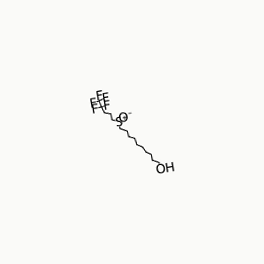 [O-][S+](CCCCCCCCCCO)CCCC(F)(F)C(F)(F)F